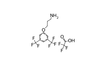 NCCCOc1cc(C(F)(F)F)cc(C(F)(F)F)c1.O=C(O)C(F)(F)F